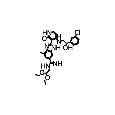 CCOC(CNC(=N)c1cc(C)c2nc(-c3c(NCC(O)c4cccc(Cl)c4)cc[nH]c3=O)[nH]c2c1)OCC